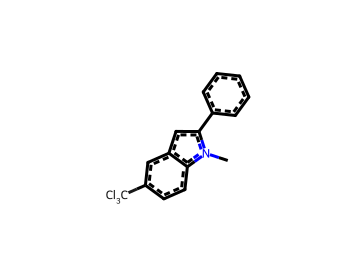 Cn1c(-c2ccccc2)cc2cc(C(Cl)(Cl)Cl)ccc21